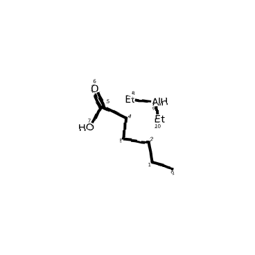 CCCCCC(=O)O.C[CH2][AlH][CH2]C